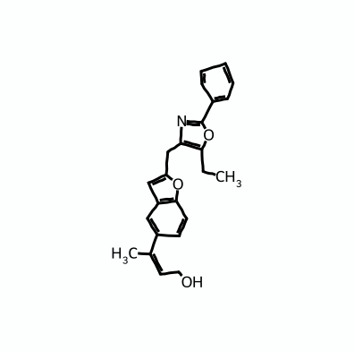 CCc1oc(-c2ccccc2)nc1Cc1cc2cc(/C(C)=C\CO)ccc2o1